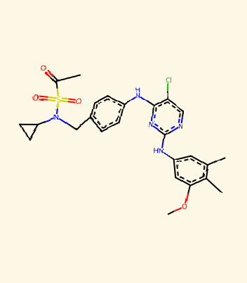 COc1cc(Nc2ncc(Cl)c(Nc3ccc(CN(C4CC4)S(=O)(=O)C(C)=O)cc3)n2)cc(C)c1C